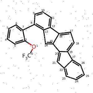 FC(F)(F)Oc1ccccc1-c1cccc2c1C=c1c-2ccc2c1=Cc1ccccc1-2